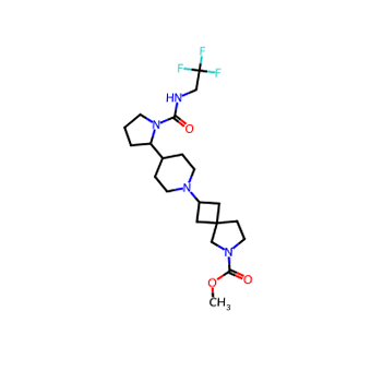 COC(=O)N1CCC2(CC(N3CCC(C4CCCN4C(=O)NCC(F)(F)F)CC3)C2)C1